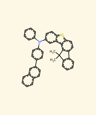 CC1(C)c2ccccc2-c2ccc3sc4ccc(N(c5ccccc5)c5ccc(-c6ccc7ccccc7c6)cc5)cc4c3c21